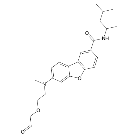 CC(C)CC(C)NC(=O)c1ccc2oc3cc(N(C)CCOCC=O)ccc3c2c1